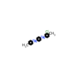 Cc1ccc(N=Nc2ccc(N=Nc3ccc(C)c(Cl)c3)cc2)cc1